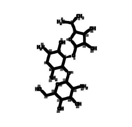 C[C@H](N)C1OC(O[C@H]2C(O)C(N)CC(N)C2OC2OC(CO)C(O)C(O)C2N)C(O)C1O